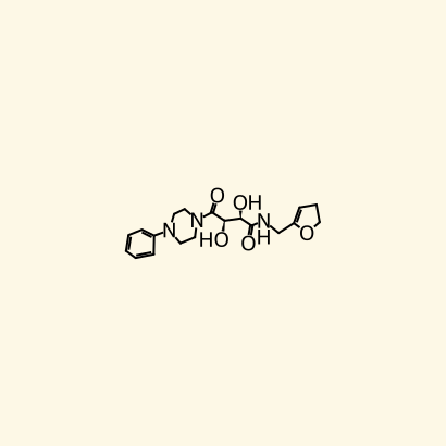 O=C(NCC1=CCCO1)[C@H](O)[C@@H](O)C(=O)N1CCN(c2ccccc2)CC1